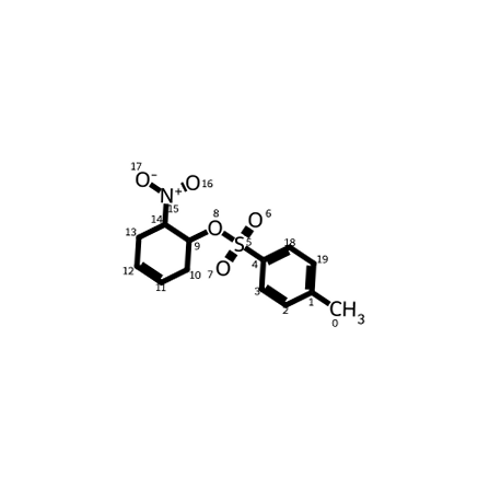 Cc1ccc(S(=O)(=O)OC2CC=CCC2[N+](=O)[O-])cc1